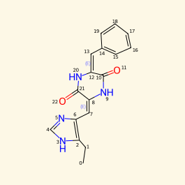 CCc1[nH]cnc1/C=c1/[nH]c(=O)/c(=C\c2ccccc2)[nH]c1=O